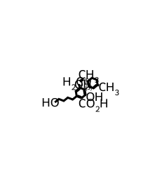 C=C(C)[C@@H]1CCC(C)=C[C@H]1c1c(O)cc(CCCCO)c(C(=O)O)c1O